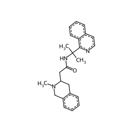 CN1Cc2ccccc2CC1CC(=O)NC(C)(C)c1nccc2ccccc12